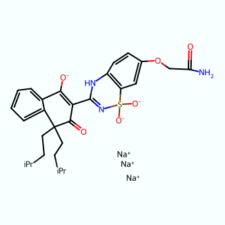 CC(C)CCC1(CCC(C)C)C(=O)C(C2=NS([O-])([O-])c3cc(OCC(N)=O)ccc3N2)=C([O-])c2ccccc21.[Na+].[Na+].[Na+]